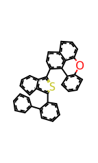 c1ccc(-c2ccccc2-c2sc(-c3ccc4cccc5c4c3-c3ccccc3O5)c3ccccc23)cc1